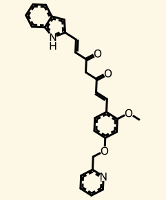 COc1cc(OCc2ccccn2)ccc1C=CC(=O)CC(=O)C=Cc1cc2ccccc2[nH]1